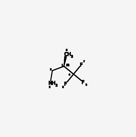 C[C@H](CN)C(F)(F)F